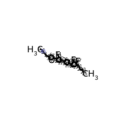 C/C=C/CCC1CCC(c2ccc(-c3ccc(-c4ccc(CCCCC)c(F)c4F)cc3)cc2F)OC1